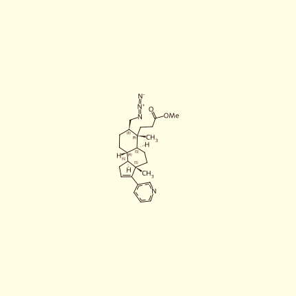 COC(=O)CC[C@@]1(C)[C@H](CN=[N+]=[N-])CC[C@@H]2[C@@H]1CC[C@]1(C)C(c3cccnc3)=CC[C@@H]21